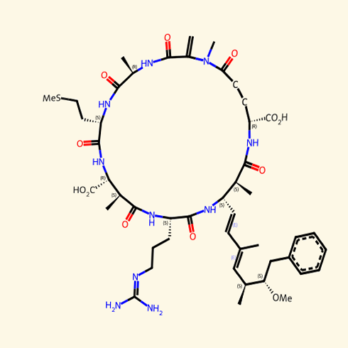 C=C1C(=O)N[C@H](C)C(=O)N[C@@H](CCSC)C(=O)N[C@@H](C(=O)O)[C@H](C)C(=O)N[C@@H](CCCN=C(N)N)C(=O)N[C@@H](/C=C/C(C)=C/[C@H](C)[C@H](Cc2ccccc2)OC)[C@H](C)C(=O)N[C@@H](C(=O)O)CCC(=O)N1C